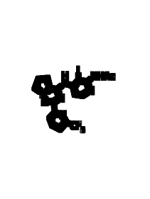 CC(=O)Nc1nccc(Nc2nc(-c3cccc(C(F)(F)F)n3)nn3cccc23)c1I